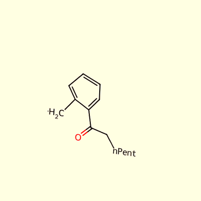 [CH2]c1ccccc1C(=O)CCCCCC